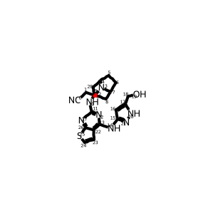 N#CCCN1C2CCC1CC(Nc1nc(Nc3cc(CO)[nH]n3)c3ccsc3n1)C2